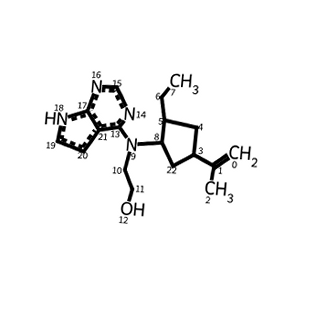 C=C(C)C1CC(CC)C(N(CCO)c2ncnc3[nH]ccc23)C1